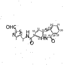 O=Cc1ncc(CNC(=O)c2ccc3c(c2)NC(=O)c2ccccc2S3)s1